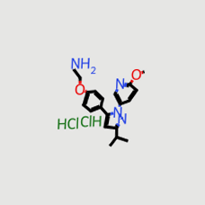 COc1ccc(-n2nc(C(C)C)cc2-c2ccc(OCCN)cc2)cn1.Cl.Cl